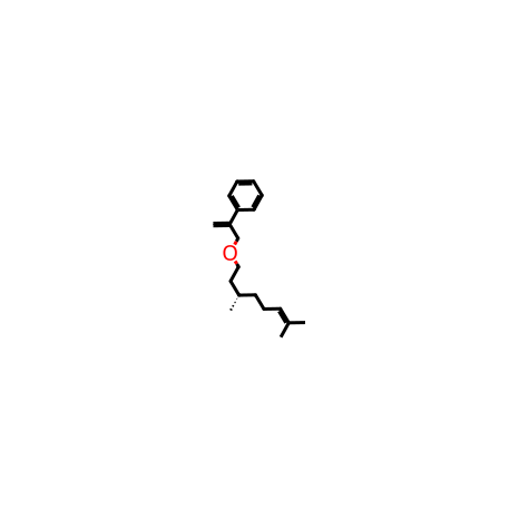 C=C(COCC[C@@H](C)CCC=C(C)C)c1ccccc1